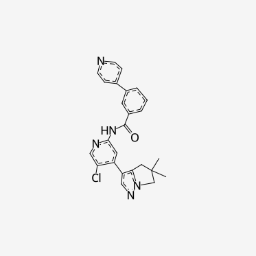 CC1(C)Cc2c(-c3cc(NC(=O)c4cccc(-c5ccncc5)c4)ncc3Cl)cnn2C1